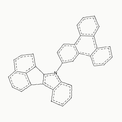 c1cc2c3c(cccc3c1)-c1c-2c2ccccc2n1-c1ccc2c3ccccc3c3ccccc3c2c1